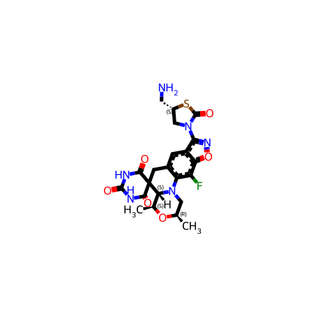 C[C@@H]1CN2c3c(cc4c(N5C[C@H](CN)SC5=O)noc4c3F)CC3(C(=O)NC(=O)NC3=O)[C@H]2[C@H](C)O1